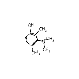 Cc1ccc(O)c(C)c1N(C)C